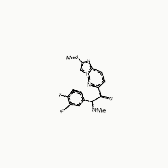 CNc1cn2nc(C(=O)C(NC)c3ccc(F)c(F)c3)ccc2n1